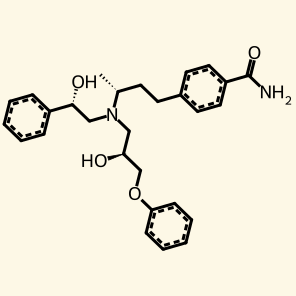 C[C@H](CCc1ccc(C(N)=O)cc1)N(C[C@H](O)COc1ccccc1)C[C@@H](O)c1ccccc1